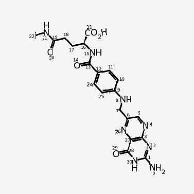 Nc1nc2ncc(CNc3ccc(C(=O)N[C@@H](CCC(=O)NI)C(=O)O)cc3)nc2c(=O)[nH]1